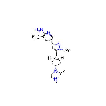 CC(C)n1nc(-c2cnc(N)c(C(F)(F)F)c2)cc1C1[C@H]2C[C@H](N3CCN(C)C[C@@H]3C)C[C@@H]12